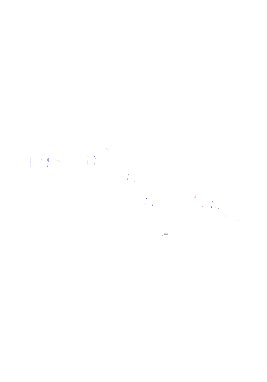 NC1CCN(C(=O)CCN2CCN(c3cccc(C4CCC(=O)NC4=O)c3)CC2)CC1